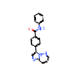 O=C(Nc1ccccc1)c1ccc(-c2cnc3cccnn23)cc1